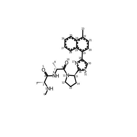 CN[C@H](C)C(=O)N[C@H](C)C(=O)N1CCC[C@@H]1c1nc(-c2ccc(C)c3ccccc23)cs1